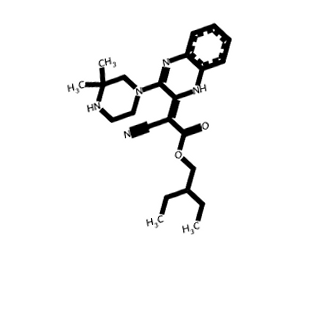 CCC(CC)COC(=O)/C(C#N)=C1\Nc2ccccc2N=C1N1CCNC(C)(C)C1